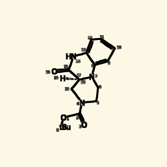 CC(C)(C)OC(=O)N1CCN2c3ccccc3NC(=O)[C@@H]2C1